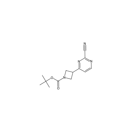 CC(C)(C)OC(=O)N1CC(c2ccnc(C#N)n2)C1